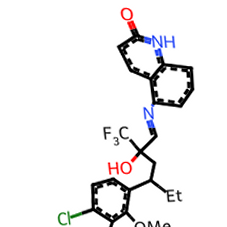 CCC(CC(O)(C=Nc1cccc2[nH]c(=O)ccc12)C(F)(F)F)c1ccc(Cl)c(C)c1OC